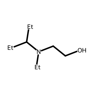 CCC(CC)N(CC)CCO